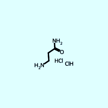 Cl.Cl.NCCC(N)=O